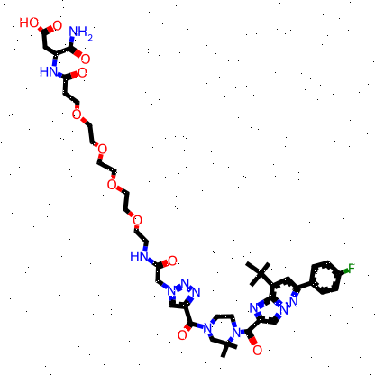 CC(C)(C)c1cc(-c2ccc(F)cc2)nn2cc(C(=O)N3CCN(C(=O)c4cn(CC(=O)NCCOCCOCCOCCOCCC(=O)NC(CC(=O)O)C(N)=O)nn4)CC3(C)C)nc12